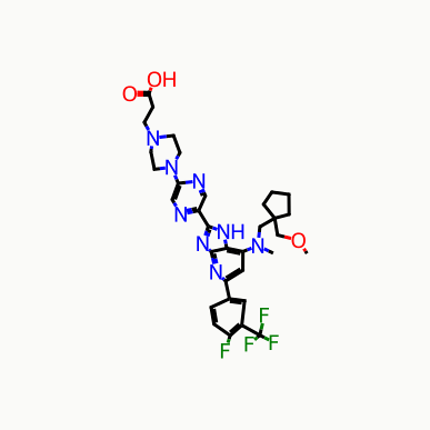 COCC1(CN(C)c2cc(-c3ccc(F)c(C(F)(F)F)c3)nc3nc(-c4cnc(N5CCN(CCC(=O)O)CC5)cn4)[nH]c23)CCCC1